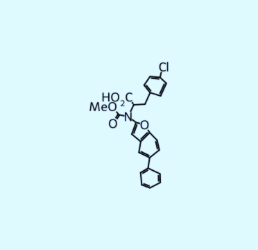 COC(=O)N(c1cc2cc(-c3ccccc3)ccc2o1)[C@H](Cc1ccc(Cl)cc1)C(=O)O